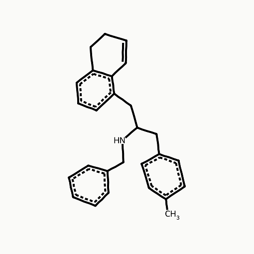 Cc1ccc(CC(Cc2cccc3c2C=CCC3)NCc2ccccc2)cc1